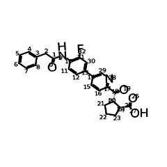 O=C(Cc1ccccc1)Nc1ccc(-c2ccc(C(=O)[C@H]3CCC[C@@H]3C(=O)O)nc2)cc1F